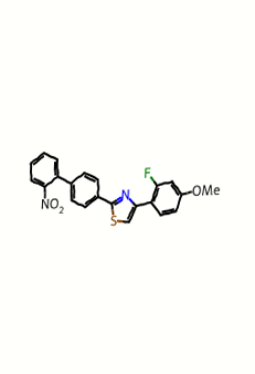 COc1ccc(-c2csc(-c3ccc(-c4ccccc4[N+](=O)[O-])cc3)n2)c(F)c1